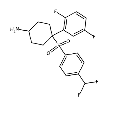 NC1CCC(c2cc(F)ccc2F)(S(=O)(=O)c2ccc(C(F)F)cc2)CC1